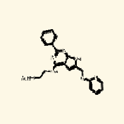 CC(=O)NCCNc1nc(-c2ccccc2)nc2[nH]c(COc3ccccn3)cc12